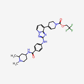 CC1CC(NC(=O)c2ccc(Nc3nc4c(C5=CCN(C(=O)OCC(F)(F)F)CC5)cccn4n3)cc2)CCN1C